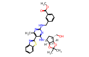 COC(=O)c1cccc(CNc2nc(C)c(-c3nc4ccccc4s3)c(N[C@@H]3C[C@H](CO)[C@H]4OC(C)(C)O[C@H]43)n2)c1